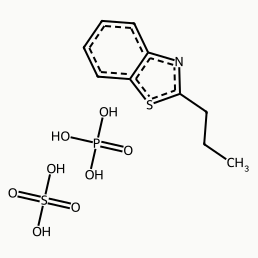 CCCc1nc2ccccc2s1.O=P(O)(O)O.O=S(=O)(O)O